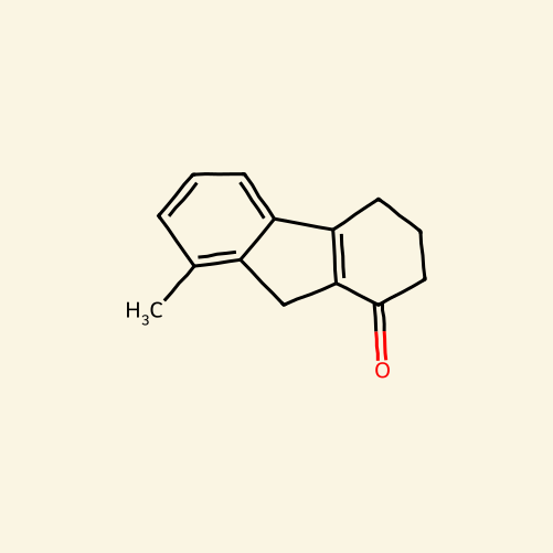 Cc1cccc2c1CC1=C2CCCC1=O